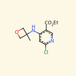 CCOC(=O)c1cnc(Cl)cc1NC1(C)COC1